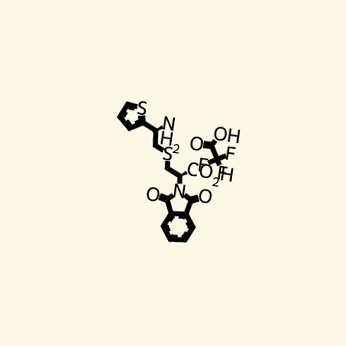 N[C@@H](CSC[C@@H](C(=O)O)N1C(=O)c2ccccc2C1=O)c1cccs1.O=C(O)C(F)(F)F